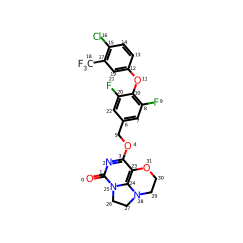 O=c1nc(OCc2cc(F)c(Oc3ccc(Cl)c(C(F)(F)F)c3)c(F)c2)c2c3n1CCN3CCO2